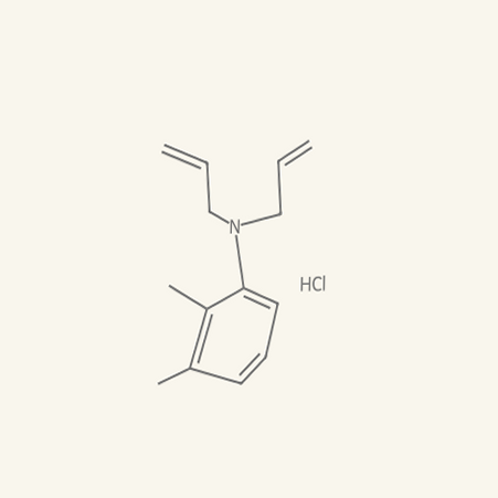 C=CCN(CC=C)c1cccc(C)c1C.Cl